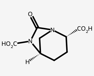 O=C(O)[C@@H]1CC[C@@H]2CN1C(=O)N2C(=O)O